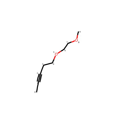 CC#CCCOCCOC